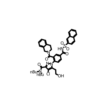 CCCCN(CCCC)C(=O)c1nn(-c2ccc(C(=O)NS(=O)(=O)c3ccc4ccccc4c3)cc2C(=O)N2CCc3ccccc3C2)c(CCO)c1Cl